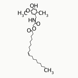 CCCCCCCC/C=C\CCCCCCCC(=O)OCC(=O)NCc1cc(OC)c(O)cc1C